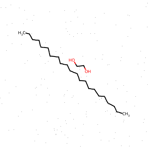 CCCCCCCCCCCCCCCCCCCCCC.OCCO